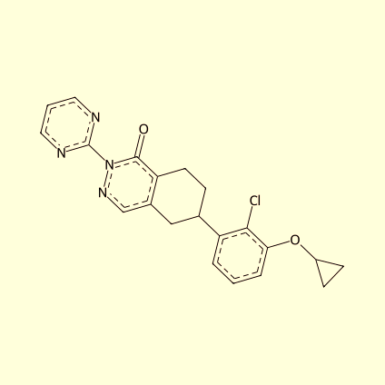 O=c1c2c(cnn1-c1ncccn1)CC(c1cccc(OC3CC3)c1Cl)CC2